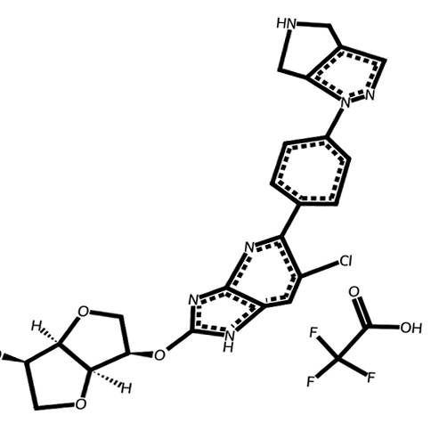 O=C(O)C(F)(F)F.O[C@@H]1CO[C@H]2[C@@H]1OC[C@H]2Oc1nc2nc(-c3ccc(-n4ncc5c4CNC5)cc3)c(Cl)cc2[nH]1